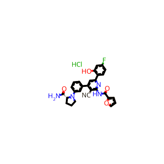 Cl.N#Cc1c(-c2cccc(N3CCC[C@@H]3C(N)=O)c2)cc(-c2ccc(F)cc2O)nc1NC(=O)c1ccco1